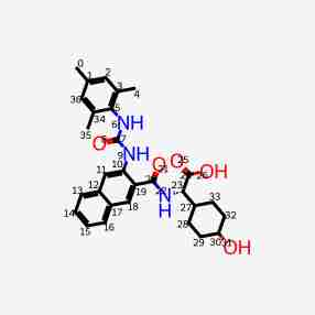 Cc1cc(C)c(NC(=O)Nc2cc3ccccc3cc2C(=O)N[C@H](C(=O)O)C2CCC(O)CC2)c(C)c1